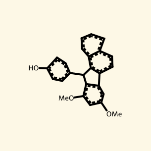 COc1cc(OC)c2c(c1)-c1ccc3ccccc3c1C2c1ccc(O)cc1